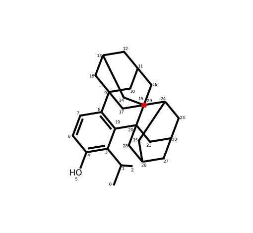 CC(C)c1c(O)ccc(C23CC4CC(CC(C4)C2)C3)c1C12CC3CC(CC(C3)C1)C2